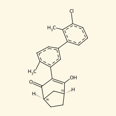 Cc1ccc(-c2cccc(Cl)c2C)cc1C1=C(O)[C@H]2CC[C@H](C2)C1=O